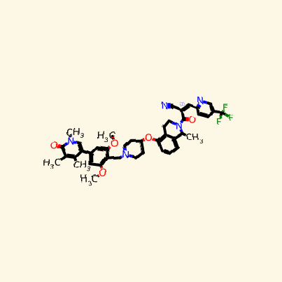 COc1cc(-c2cn(C)c(=O)c(C)c2C)cc(OC)c1CN1CCC(Oc2cccc3c2CCN(C(=O)/C(C#N)=C\c2ccc(C(F)(F)F)cn2)C3C)CC1